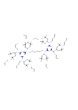 CCCCC(c1nc(N(CCCC)C2CC(C)(C)N(OCCC)C(C)(C)C2)nc(N(CCCCCCN(c2nc(N(CCCC)C3CC(C)(C)N(OCCC)C(C)(C)C3)nc(N(CCCC)C3CC(C)(C)N(OCCC)C(C)(C)C3)n2)C2CC(C)(C)C(OCCC)C(C)(C)C2)C2CC(C)(C)N(OCCC)C(C)(C)C2)n1)C1CC(C)(C)N(CCCC)C(C)(C)C1